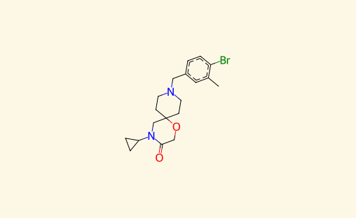 Cc1cc(CN2CCC3(CC2)CN(C2CC2)C(=O)CO3)ccc1Br